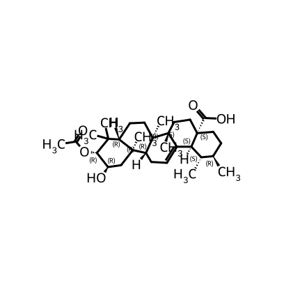 CC(=O)O[C@H]1[C@H](O)C[C@]2(C)[C@H]3CC=C4[C@@H]5[C@@H](C)[C@H](C)CC[C@]5(C(=O)O)CC[C@@]4(C)[C@]3(C)CC[C@H]2C1(C)C